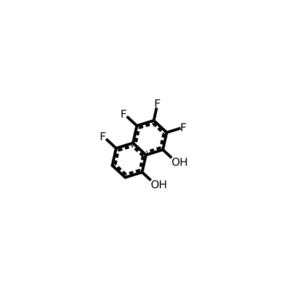 Oc1ccc(F)c2c(F)c(F)c(F)c(O)c12